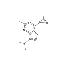 CC(C)n1cnc2c(N3B=B3)cc(I)nc21